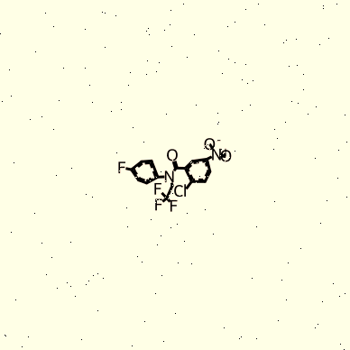 O=C(c1cc([N+](=O)[O-])ccc1Cl)N(CC(F)(F)F)c1ccc(F)cc1